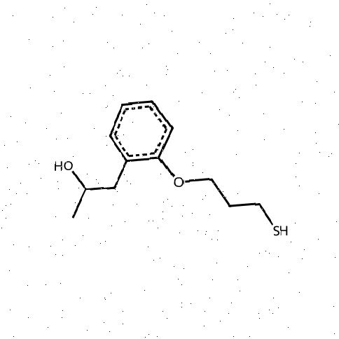 CC(O)Cc1ccccc1OCCCS